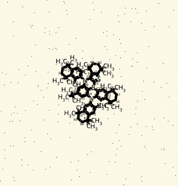 Cc1cc2c(cc1N1c3cc4c(cc3B3c5sc6c(c5N(c5ccc7c(c5C)C(C)(C)CCC7(C)C)c5cc(C(C)(C)C)cc1c53)C(C)(C)CCC6(C)C)C(C)(C)CCC4(C)C)C(C)(C)CCC2(C)C